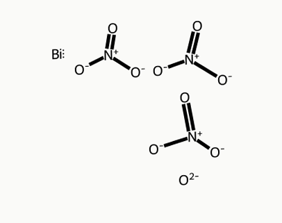 O=[N+]([O-])[O-].O=[N+]([O-])[O-].O=[N+]([O-])[O-].[Bi].[O-2]